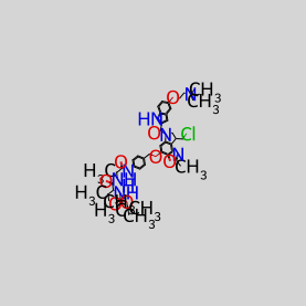 Cc1nc2c3c(cc(OCc4ccc(NC(=O)[C@H](C)NC(=O)C(NC(=O)OC(C)(C)C)C(C)C)cc4)c2o1)N(C(=O)c1cc2cc(OCCN(C)C)ccc2[nH]1)CC3CCl